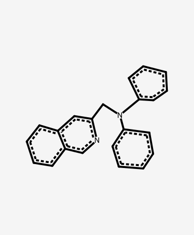 c1ccc(N(Cc2cc3ccccc3cn2)c2ccccc2)cc1